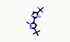 Cn1nc(C(C)(C)C)cc1-c1ncc(C(C)(I)I)[nH]1